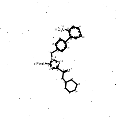 CCCCCc1nc(C(=O)CC2CCCCC2)nn1Cc1ccc(-c2ccccc2C(=O)O)cc1